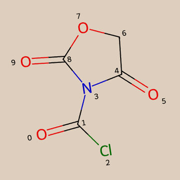 O=C(Cl)N1C(=O)COC1=O